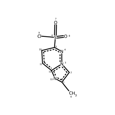 Cc1cn2nc(S(=O)(=O)Cl)ccc2n1